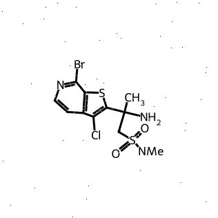 CNS(=O)(=O)CC(C)(N)c1sc2c(Br)nccc2c1Cl